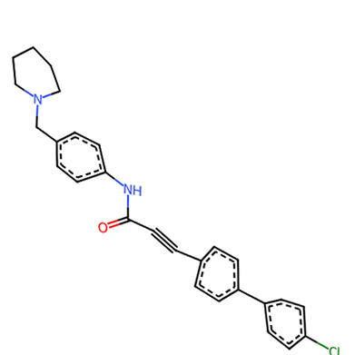 O=C(C#Cc1ccc(-c2ccc(Cl)cc2)cc1)Nc1ccc(CN2CCCCC2)cc1